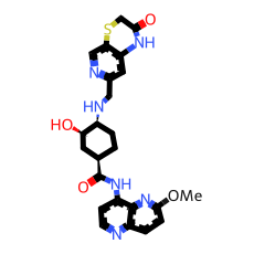 COc1ccc2nccc(NC(=O)[C@@H]3CC[C@@H](NCc4cc5c(cn4)SCC(=O)N5)[C@H](O)C3)c2n1